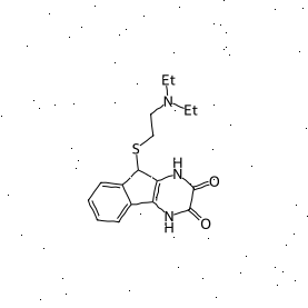 CCN(CC)CCSC1c2ccccc2-c2[nH]c(=O)c(=O)[nH]c21